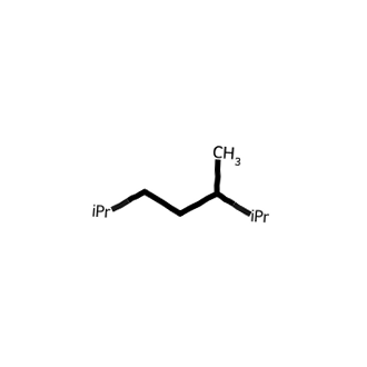 CC(C)CCC(C)C(C)C